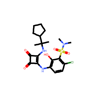 CN(C)S(=O)(=O)c1c(Cl)ccc(Nc2c(NC(C)(C)C3CCCC3)c(=O)c2=O)c1O